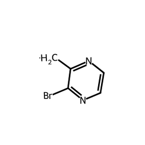 [CH2]c1nccnc1Br